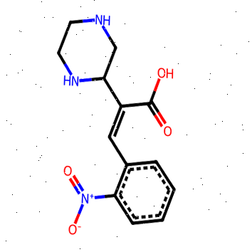 O=C(O)C(=Cc1ccccc1[N+](=O)[O-])C1CNCCN1